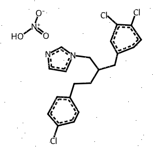 Clc1ccc(CCC(Cc2ccc(Cl)c(Cl)c2)Cn2ccnc2)cc1.O=[N+]([O-])O